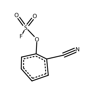 N#Cc1ccccc1OS(=O)(=O)F